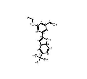 CCOc1cc(C=O)cc(-c2cc3cc(C(F)(F)F)ccc3s2)c1